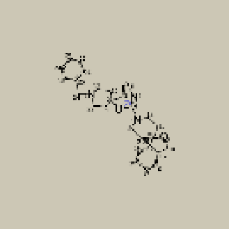 C=CC1(O/C(=N\C)N2CCC3(CC2)OCc2ccccc23)CCN(Cc2ccccc2)CC1